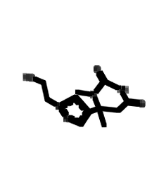 CN1C(=O)NC(=O)CC1(C)c1cnn(CCO)c1